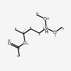 CO[SiH](CCC(C)OC(C)=O)OC